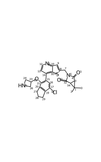 CC1(C)C2C(=O)N(Cc3cc4nccc(-c5cc(Cl)c6c(c5OC5CNC5)CCC6)c4s3)C(=O)C21